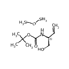 C=C[C@@H](CO)NC(=O)OC(C)(C)C.[SiH3]O[SiH3]